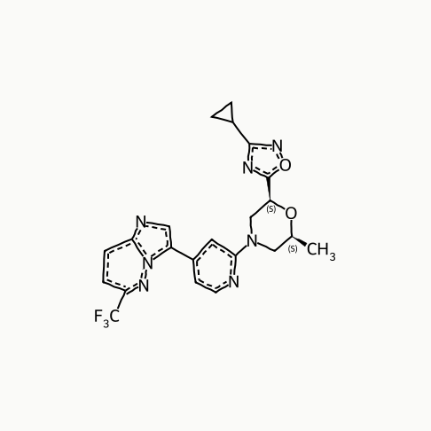 C[C@H]1CN(c2cc(-c3cnc4ccc(C(F)(F)F)nn34)ccn2)C[C@@H](c2nc(C3CC3)no2)O1